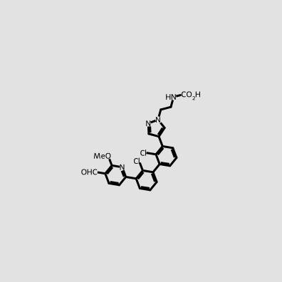 COc1nc(-c2cccc(-c3cccc(-c4cnn(CCNC(=O)O)c4)c3Cl)c2Cl)ccc1C=O